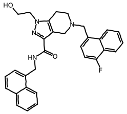 O=C(NCc1cccc2ccccc12)c1nn(CCO)c2c1CN(Cc1ccc(F)c3ccccc13)CC2